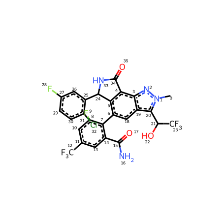 Cn1nc2c3c(c(-c4c(F)cc(C(F)(F)F)cc4C(N)=O)cc2c1C(O)C(F)(F)F)C(c1cc(F)ccc1Cl)NC3=O